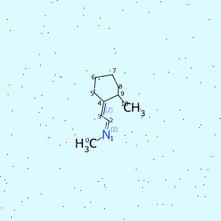 C/N=C\C=C1\CCCCC1C